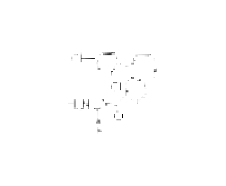 C#C/C(N)=N\C(=O)c1ccc2c(c1)C(c1ccc(Cl)cc1Cl)=C=CC=C2